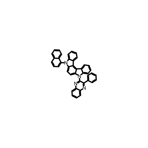 c1ccc(-c2nc3ccccc3nc2-n2c3ccccc3c3c4c5ccccc5n(-c5cccc6ccccc56)c4ccc32)cc1